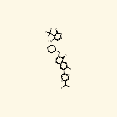 O=c1[nH]ncc(N[C@H]2CCC[C@@H](Cn3ccc4cc(-c5cnc(C(F)F)cn5)c(F)cc4c3=O)C2)c1C(F)(F)F